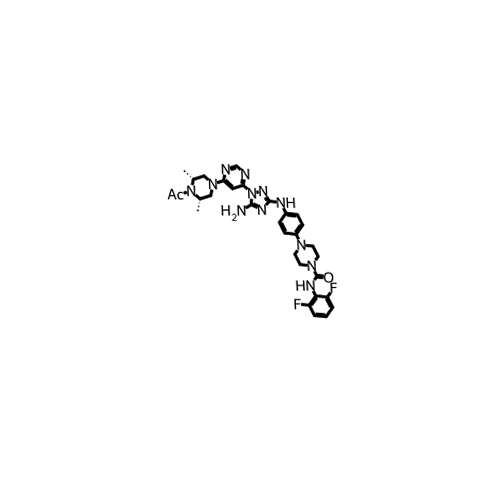 CC(=O)N1[C@H](C)CN(c2cc(-n3nc(Nc4ccc(N5CCN(C(=O)Nc6c(F)cccc6F)CC5)cc4)nc3N)ncn2)C[C@@H]1C